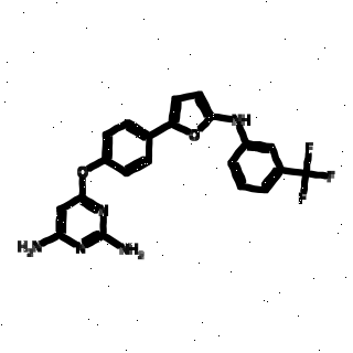 Nc1cc(Oc2ccc(-c3ccc(Nc4cccc(C(F)(F)F)c4)o3)cc2)nc(N)n1